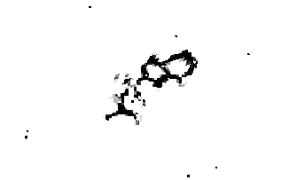 CC(=O)NS(=O)(=O)c1ccc2ccoc2c1